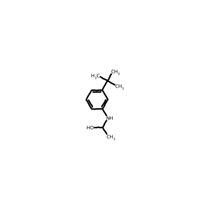 CC(O)Nc1cccc(C(C)(C)C)c1